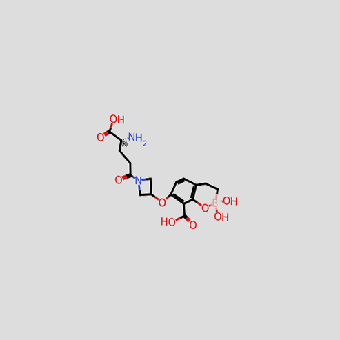 N[C@H](CCC(=O)N1CC(Oc2ccc3c(c2C(=O)O)O[B-](O)(O)CC3)C1)C(=O)O